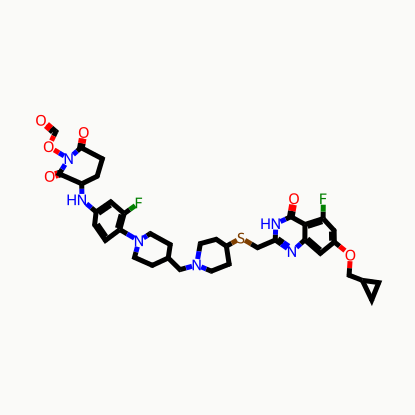 O=CON1C(=O)CCC(Nc2ccc(N3CCC(CN4CCC(SCc5nc6cc(OCC7CC7)cc(F)c6c(=O)[nH]5)CC4)CC3)c(F)c2)C1=O